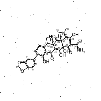 C[C@@H]1c2ccc(-c3ccc4c(c3)OCO4)c(O)c2C(=O)C2=C(O)[C@@]3(O)C(=O)C(C(N)=O)=C(O)[C@H](N(C)C)[C@H]3[C@H](O)[C@H]21